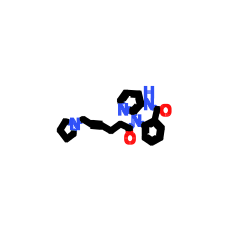 O=C1Nc2cccnc2N(C(=O)CCC#CCN2CCCC2)c2ccccc21